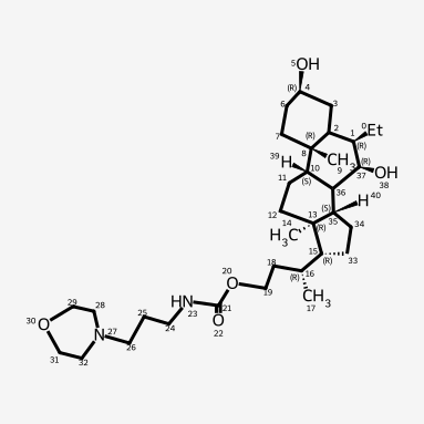 CC[C@@H]1C2C[C@H](O)CC[C@@]2(C)[C@H]2CC[C@]3(C)[C@@H]([C@H](C)CCOC(=O)NCCCN4CCOCC4)CC[C@H]3C2[C@@H]1O